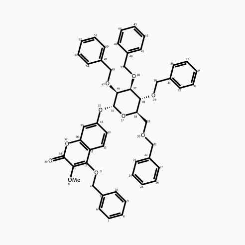 COc1c(OCc2ccccc2)c2ccc(O[C@H]3O[C@H](COCc4ccccc4)[C@@H](OCc4ccccc4)[C@H](OCc4ccccc4)[C@@H]3OCc3ccccc3)cc2oc1=O